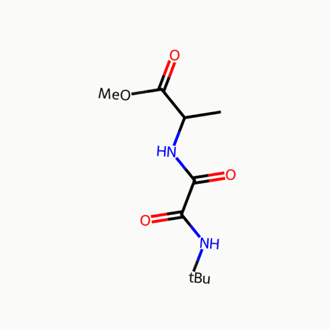 COC(=O)C(C)NC(=O)C(=O)NC(C)(C)C